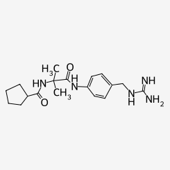 CC(C)(NC(=O)C1CCCC1)C(=O)Nc1ccc(CNC(=N)N)cc1